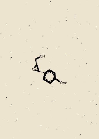 CC(=O)Oc1ccc([C@@H]2O[C@H]2CO)cc1